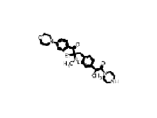 CCC(Cc1ccc(C(C)C(=O)N2CCNCC2)cc1)(C(=O)c1ccc(N2CCOCC2)cc1)N(C)C